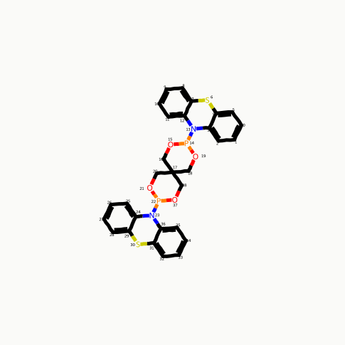 c1ccc2c(c1)Sc1ccccc1N2P1OCC2(CO1)COP(N1c3ccccc3Sc3ccccc31)OC2